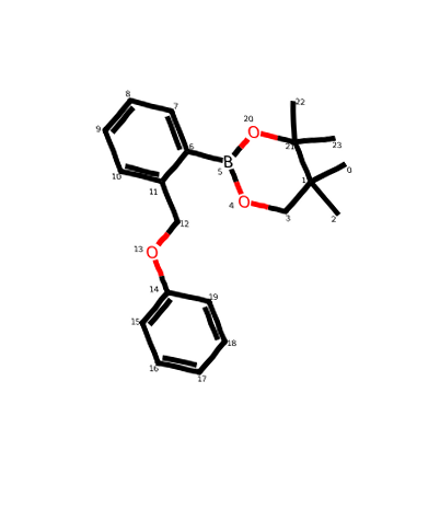 CC1(C)COB(c2ccccc2COc2ccccc2)OC1(C)C